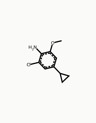 COc1cc(C2CC2)cc(Cl)c1N